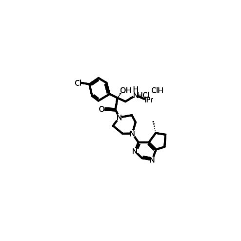 CC(C)NC[C@@](O)(C(=O)N1CCN(c2ncnc3c2[C@H](C)CC3)CC1)c1ccc(Cl)cc1.Cl.Cl